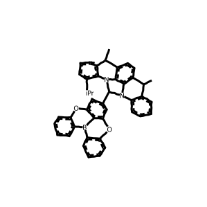 CC(C)c1cccc2c1N1c3c(ccc4c3N(c3ccccc3C4C)C1c1cc3c4c(c1)Oc1ccccc1B4c1ccccc1O3)C2C